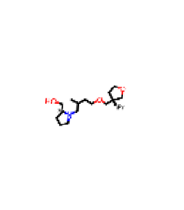 CC(CCOCC1(C(C)C)CCOC1)CN1CCC[C@H]1CO